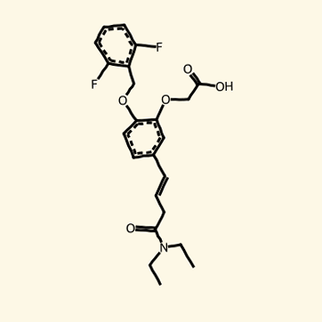 CCN(CC)C(=O)CC=Cc1ccc(OCc2c(F)cccc2F)c(OCC(=O)O)c1